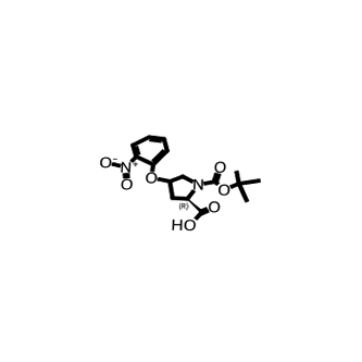 CC(C)(C)OC(=O)N1CC(Oc2ccccc2[N+](=O)[O-])C[C@@H]1C(=O)O